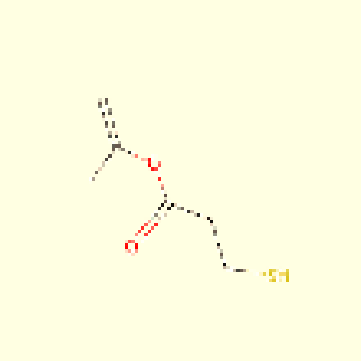 C=C(C)OC(=O)CCS